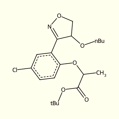 CCCCOC1CON=C1c1cc(Cl)ccc1OC(C)C(=O)OC(C)(C)C